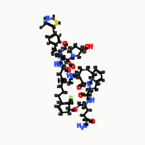 Cc1ncsc1-c1ccc([C@H](C)NC(=O)[C@@H]2C[C@@H](O)CN2C(=O)[C@@H](NC(=O)CCCCCc2cccc(OC[C@H](CCC(N)=O)NC(=O)[C@@H]3Cc4cccc5c4N3C(=O)[C@@H](NC(=O)O)CC5)c2F)C(C)(C)C)cc1